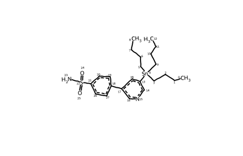 CCC[CH2][Sn]([CH2]CCC)([CH2]CCC)[c]1cncc(-c2ccc(S(N)(=O)=O)cc2)c1